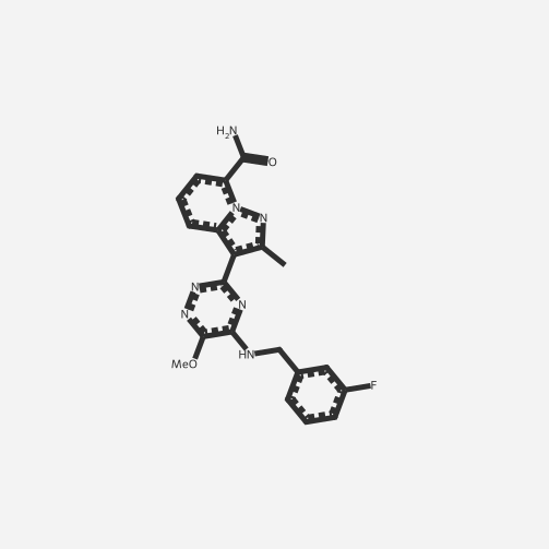 COc1nnc(-c2c(C)nn3c(C(N)=O)cccc23)nc1NCc1cccc(F)c1